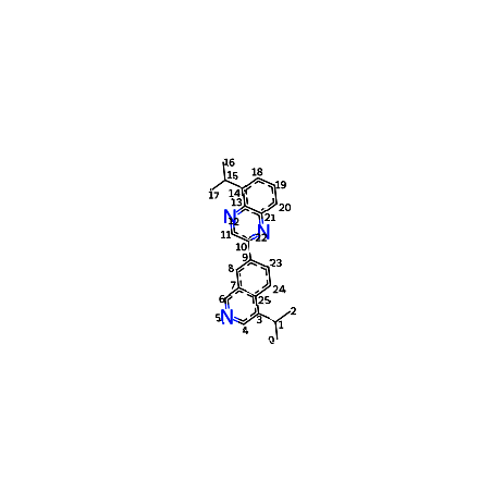 CC(C)c1cncc2cc(-c3cnc4c(C(C)C)cccc4n3)ccc12